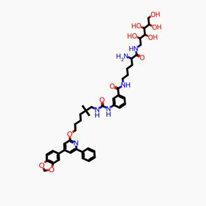 CC(C)(CCCCOc1cc(-c2ccc3c(c2)OCO3)cc(-c2ccccc2)n1)CNC(=O)Nc1cccc(C(=O)NCCCCC(N)C(=O)NCC(O)C(O)C(O)C(O)CO)c1